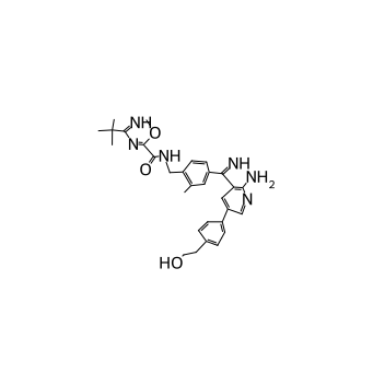 CO/C(=N\C(=N)C(C)(C)C)C(=O)NCc1ccc(C(=N)c2cc(-c3ccc(CCO)cc3)cnc2N)cc1C